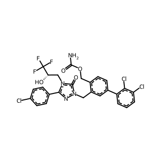 NC(=O)OCc1ccc(-c2cccc(Cl)c2Cl)cc1Cn1nc(-c2ccc(Cl)cc2)n(C[C@H](O)C(F)(F)F)c1=O